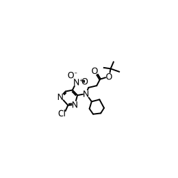 CC(C)(C)OC(=O)CCN(c1nc(Cl)ncc1[N+](=O)[O-])C1CCCCC1